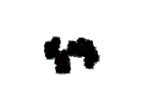 c1ccc(-c2ccccc2N(c2ccc3c(c2)C2(c4ccccc4Oc4cc(-c5ccc(N(c6ccc7c(c6)-c6cc8ccccc8cc6C76c7ccccc7Oc7ccccc76)c6ccc7c(c6)C6(c8ccccc8Oc8ccccc86)c6ccccc6-7)c(-c6ccccc6)c5)ccc42)c2ccccc2-3)c2ccc3c(c2)C2(c4ccccc4Oc4ccccc42)c2cc4ccccc4cc2-3)cc1